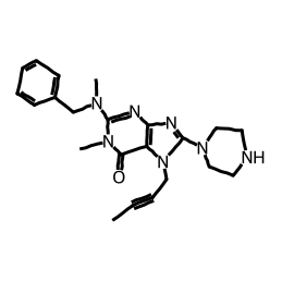 CC#CCn1c(N2CCNCC2)nc2nc(N(C)Cc3ccccc3)n(C)c(=O)c21